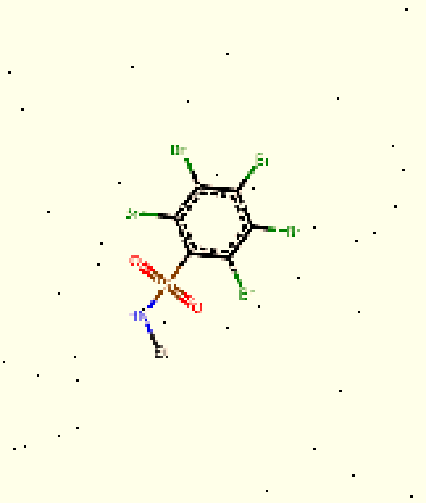 CCNS(=O)(=O)c1c(Br)c(Br)c(Br)c(Br)c1Br